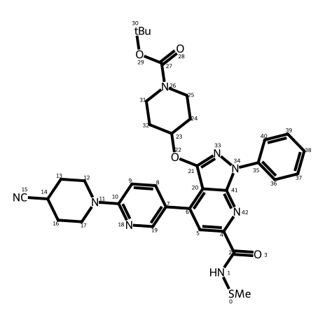 CSNC(=O)c1cc(-c2ccc(N3CCC(C#N)CC3)nc2)c2c(OC3CCN(C(=O)OC(C)(C)C)CC3)nn(-c3ccccc3)c2n1